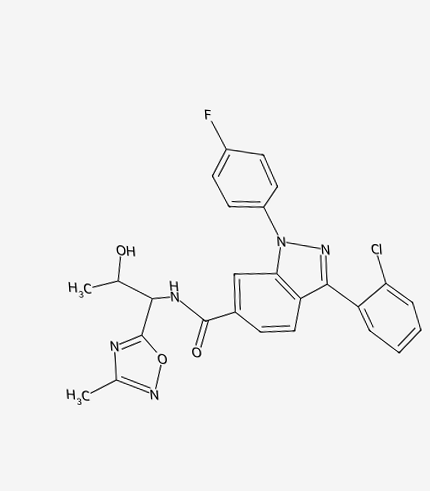 Cc1noc(C(NC(=O)c2ccc3c(-c4ccccc4Cl)nn(-c4ccc(F)cc4)c3c2)C(C)O)n1